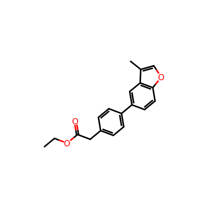 CCOC(=O)Cc1ccc(-c2ccc3occ(C)c3c2)cc1